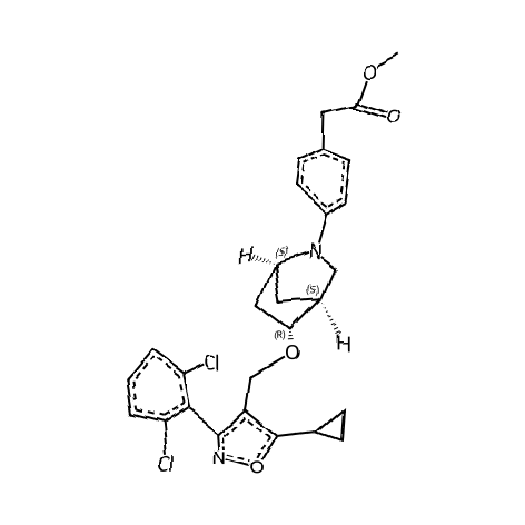 COC(=O)Cc1ccc(N2C[C@@H]3C[C@H]2C[C@H]3OCc2c(-c3c(Cl)cccc3Cl)noc2C2CC2)cc1